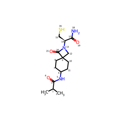 CC(C)C(=O)NC1CCC2(CC1)CN([C@@H](CS)C(N)=O)C2=O